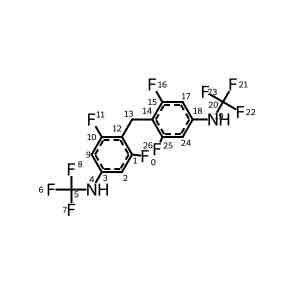 Fc1cc(NC(F)(F)F)cc(F)c1Cc1c(F)cc(NC(F)(F)F)cc1F